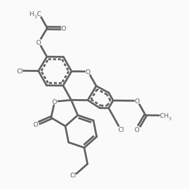 CC(=O)Oc1cc2c(cc1Cl)C1(OC(=O)C3CC(CCl)=CC=C31)c1cc(Cl)c(OC(C)=O)cc1O2